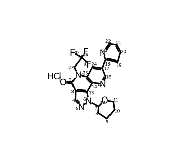 Cl.O=c1c2cnn(C3CCCCO3)c2c2ncc(-c3ccccn3)cc2n1CC(F)(F)F